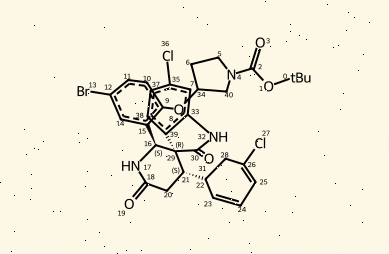 CC(C)(C)OC(=O)N1CCC(Oc2ccc(Br)cc2[C@@H]2NC(=O)C[C@@H](C3C=CC=C(Cl)C3)[C@]23C(=O)Nc2cc(Cl)ccc23)C1